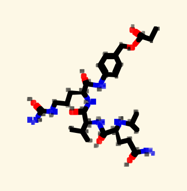 CCC(=O)OCc1ccc(NC(=O)[C@H](CCCNC(N)=O)NC(=O)[C@@H](NC(=O)[C@H](CCC(N)=O)NC(C)C)C(C)C)cc1